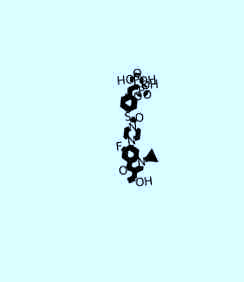 C=C(O)c1cn(C2CC2)c2cc(N3CCN(C(=O)Sc4ccc(CC(P(=O)(O)O)P(=O)(O)O)cc4)CC3)c(F)cc2c1=O